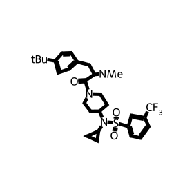 CNC(Cc1ccc(C(C)(C)C)cc1)C(=O)N1CCC(N(C2CC2)S(=O)(=O)c2cccc(C(F)(F)F)c2)CC1